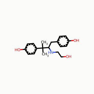 CC(C)(c1ccc(O)cc1)C(Cc1ccc(O)cc1)NCCO